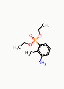 CCOP(=O)(OCC)c1cccc(N)c1C